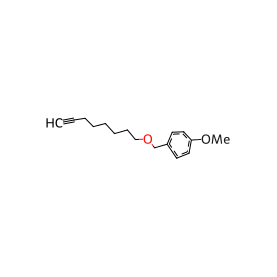 C#CCCCCCCOCc1ccc(OC)cc1